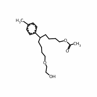 CC(=O)OCCCCC(CCCCOCCO)c1ccc(C)cc1